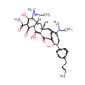 CCCCc1ccc(-c2cc(N(C)C)c3c(c2O)C(=O)C2=C(O)C4C(=O)C(C(N)=O)=C(O)[C@@H](N(C)C)[C@@H]4C[C@@H]2C3)cc1